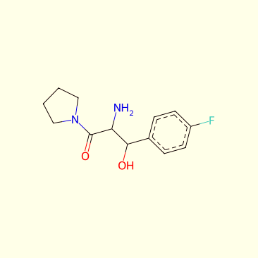 NC(C(=O)N1CCCC1)C(O)c1ccc(F)cc1